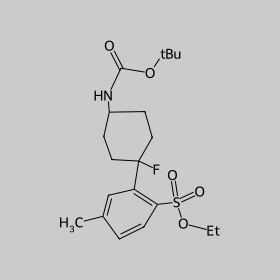 CCOS(=O)(=O)c1ccc(C)cc1C1(F)CCC(NC(=O)OC(C)(C)C)CC1